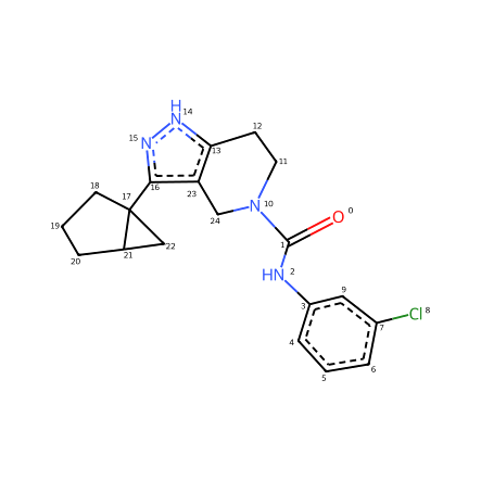 O=C(Nc1cccc(Cl)c1)N1CCc2[nH]nc(C34CCCC3C4)c2C1